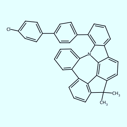 CC1(C)c2cccc3c2-c2c1ccc1c4cccc(-c5ccc(-c6ccc(Cl)cc6)cc5)c4n(c21)-c1ccccc1-3